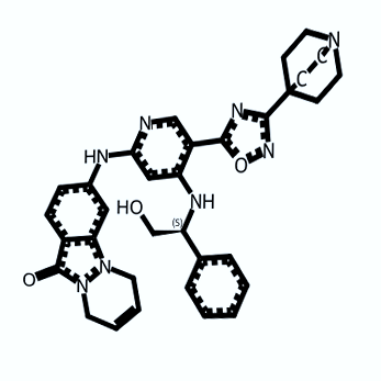 O=c1c2ccc(Nc3cc(N[C@H](CO)c4ccccc4)c(-c4nc(C56CCN(CC5)CC6)no4)cn3)cc2n2n1CC=CC2